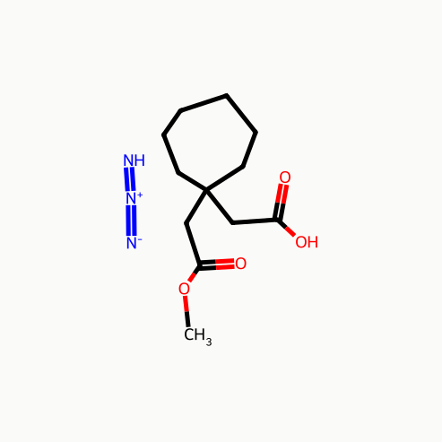 COC(=O)CC1(CC(=O)O)CCCCCC1.[N-]=[N+]=N